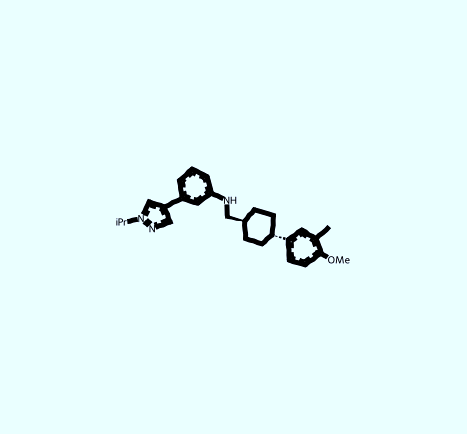 COc1ccc([C@H]2CC[C@H](CNc3cccc(-c4cnn(C(C)C)c4)c3)CC2)cc1C